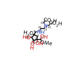 COC(O)C1(O)CC(C)(CNCCN(CC(=O)O)CC(=O)O)C(O)C1O